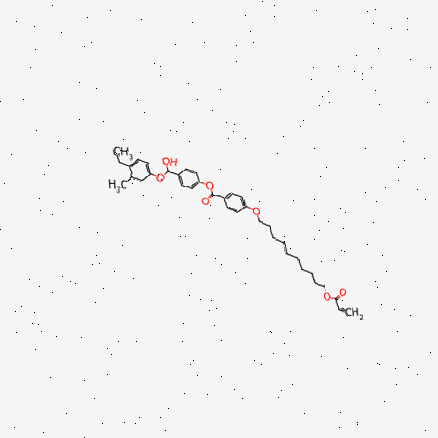 C=CC(=O)OCCCCCCCCCCOc1ccc(C(=O)Oc2ccc(C(O)OC3=CC=C(CC)C(C)C3)cc2)cc1